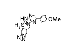 COc1ccc(-c2cnc3c(n2)N(Cc2ccc4ncnn4c2)N(C)N3)cc1